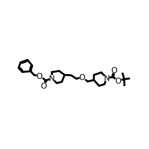 CC(C)(C)OC(=O)N1CCC(COCCC2CCN(C(=O)OCc3ccccc3)CC2)CC1